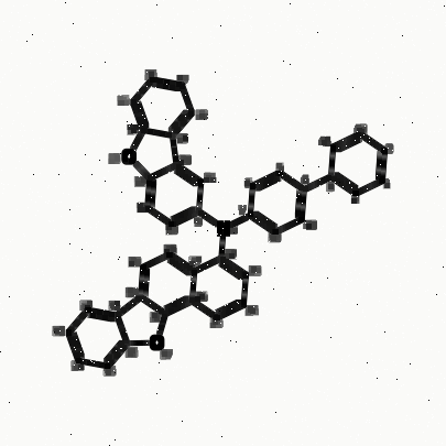 c1ccc(-c2ccc(N(c3ccc4oc5ccccc5c4c3)c3cccc4c3ccc3c5ccccc5oc43)cc2)cc1